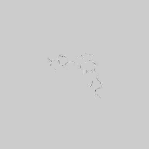 Cc1c(C(O)CN2CC[C@@H](NC(O)Cc3ccc(C#N)cn3)C2)ccc2c1COC2=O